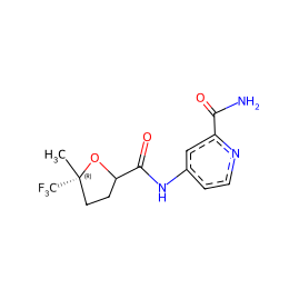 C[C@]1(C(F)(F)F)CCC(C(=O)Nc2ccnc(C(N)=O)c2)O1